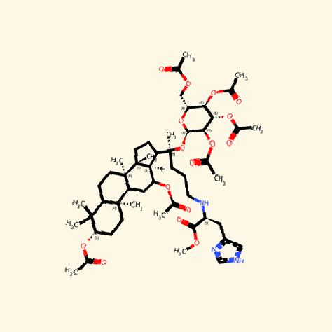 COC(=O)[C@H](Cc1c[nH]cn1)NCCC[C@](C)(O[C@H]1O[C@H](COC(C)=O)[C@@H](OC(C)=O)[C@H](OC(C)=O)[C@H]1OC(C)=O)C1CC[C@]2(C)[C@@H]1C(OC(C)=O)CC1[C@@]3(C)CC[C@H](OC(C)=O)C(C)(C)C3CC[C@]12C